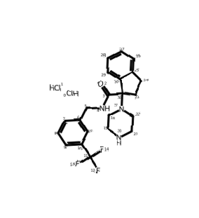 Cl.Cl.O=C(NCc1cccc(C(F)(F)F)c1)C1(N2CCNCC2)CCc2ccccc21